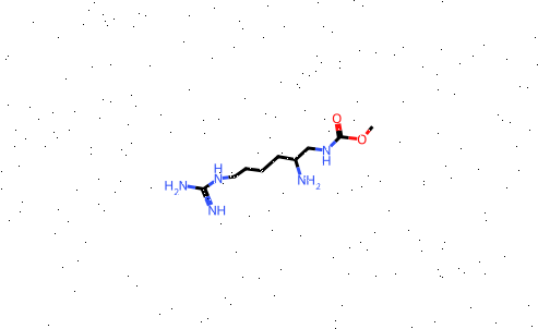 COC(=O)NCC(N)CCCCNC(=N)N